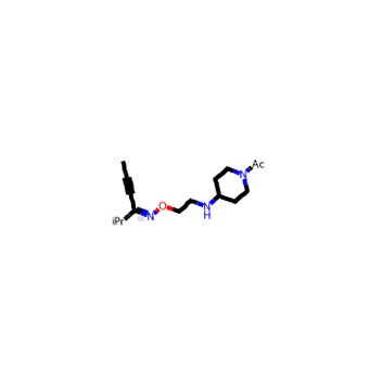 CC#C/C(=N\OCCNC1CCN(C(C)=O)CC1)C(C)C